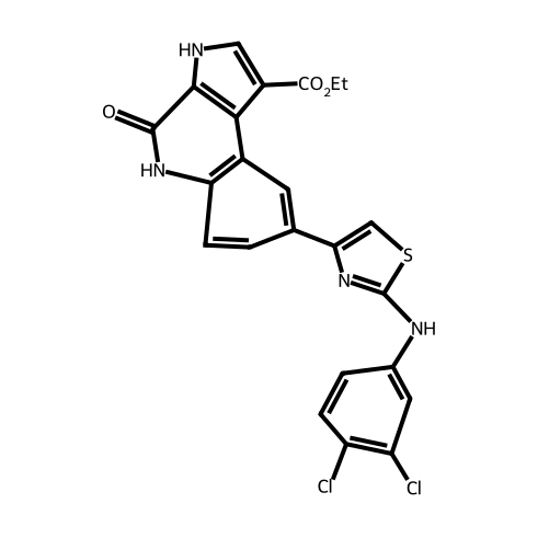 CCOC(=O)c1c[nH]c2c(=O)[nH]c3ccc(-c4csc(Nc5ccc(Cl)c(Cl)c5)n4)cc3c12